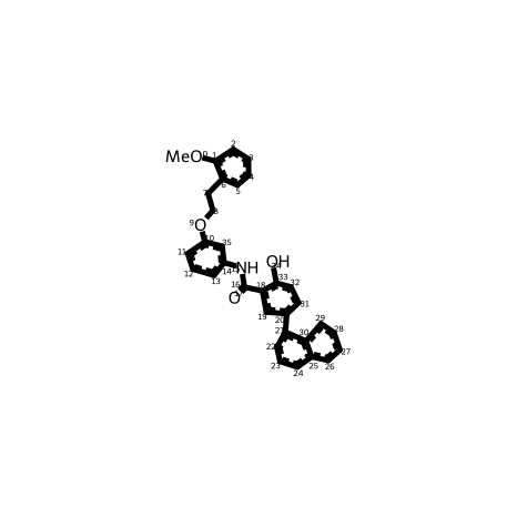 COc1ccccc1CCOc1cccc(NC(=O)c2cc(-c3cccc4ccccc34)ccc2O)c1